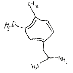 Cc1ccc(C(N)N)cc1C